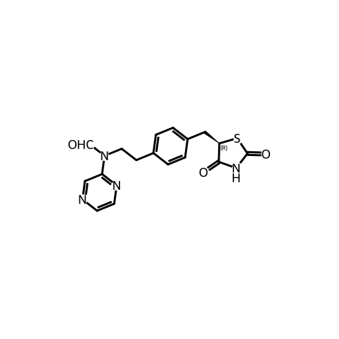 O=CN(CCc1ccc(C[C@H]2SC(=O)NC2=O)cc1)c1cnccn1